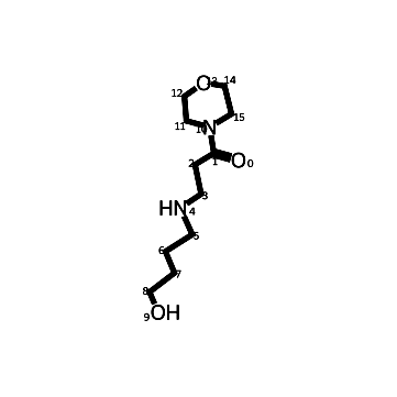 O=C(CCNCCCCO)N1CCOCC1